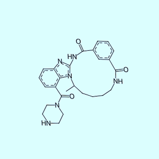 CC1CCCCNC(=O)c2cccc(c2)C(=O)Nc2nc3cccc(C(=O)N4CCNCC4)c3n21